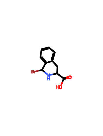 O=C(O)C1Cc2ccccc2C(Br)N1